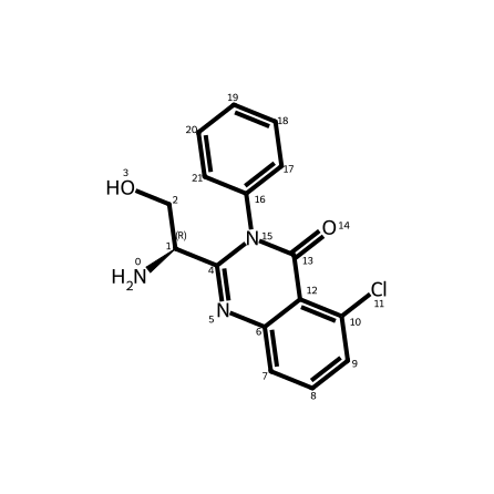 N[C@@H](CO)c1nc2cccc(Cl)c2c(=O)n1-c1ccccc1